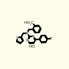 Cl.O=C(O)c1ccccc1CN(Cc1cccs1)c1nccc(-c2ccc(F)cc2)n1